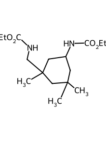 CCOC(=O)NCC1(C)CC(NC(=O)OCC)CC(C)(C)C1